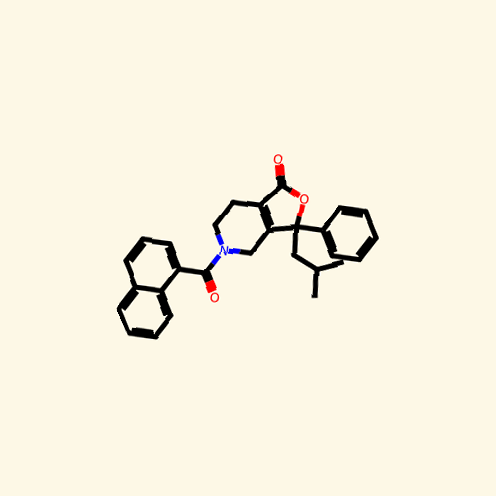 CC(C)CC1(c2ccccc2)OC(=O)C2=C1CN(C(=O)c1cccc3ccccc13)CC2